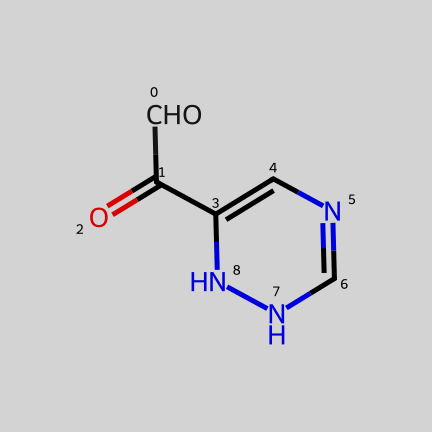 O=CC(=O)C1=CN=CNN1